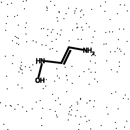 NC=CNO